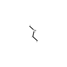 CC[Se]C